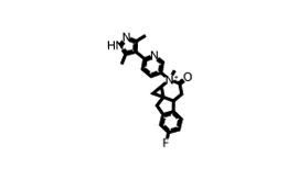 Cc1n[nH]c(C)c1-c1ccc([N+]2(C)C(=O)CC3c4ccc(F)cc4CC34CC42)cn1